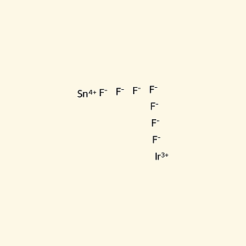 [F-].[F-].[F-].[F-].[F-].[F-].[F-].[Ir+3].[Sn+4]